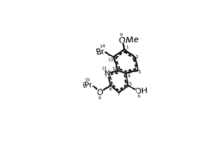 COc1ccc2c(O)cc(OC(C)C)nc2c1Br